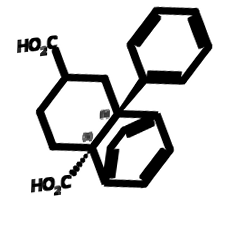 O=C(O)C1CC[C@]2(C(=O)O)c3ccc(cc3)[C@@]2(c2ccccc2)C1